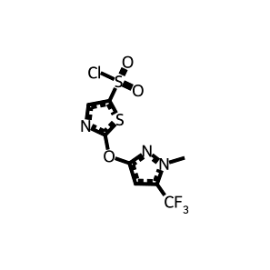 Cn1nc(Oc2ncc(S(=O)(=O)Cl)s2)cc1C(F)(F)F